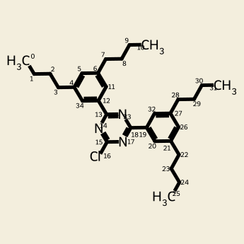 CCCCc1cc(CCCC)cc(-c2nc(Cl)nc(-c3cc(CCCC)cc(CCCC)c3)n2)c1